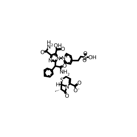 C[C@H]1C(=O)N2C(C(=O)[O-])=CCS[C@@H]12.NC(=O)c1nc(C(C(N)=O)c2ccccc2)n(-[n+]2ccc(CCS(=O)(=O)O)cc2)c1C(=O)O